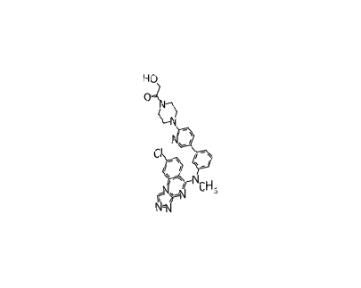 CN(c1cccc(-c2ccc(N3CCN(C(=O)CO)CC3)nc2)c1)c1nc2nncn2c2cc(Cl)ccc12